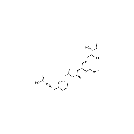 C=C[C@H](O)[C@@H](O)C/C=C/[C@H](CC(=C)C[C@H](C)C[C@@H]1CC=C[C@@H](CC#CC(=O)O)O1)OCOC